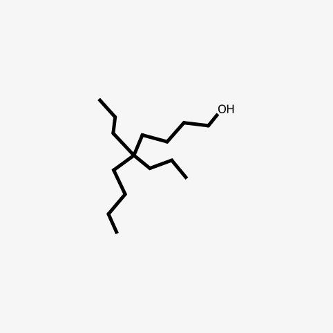 CCCCC(CCC)(CCC)CCCCO